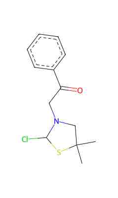 CC1(C)CN(CC(=O)c2ccccc2)C(Cl)S1